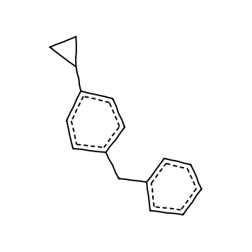 c1ccc(Cc2ccc(C3CC3)cc2)cc1